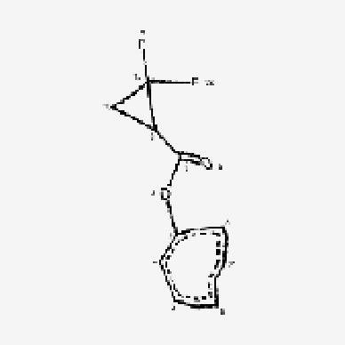 O=C(Oc1ccccc1)C1CC1(F)F